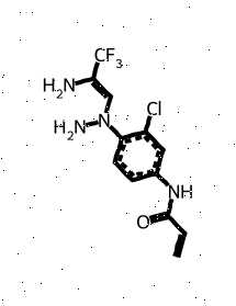 C=CC(=O)Nc1ccc(N(N)/C=C(\N)C(F)(F)F)c(Cl)c1